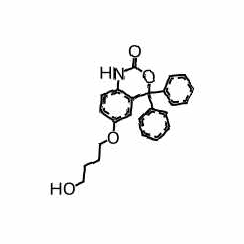 O=C1Nc2ccc(OCCCCO)cc2C(c2ccccc2)(c2ccccc2)O1